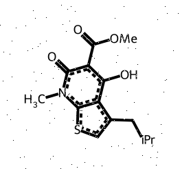 COC(=O)c1c(O)c2c(CC(C)C)csc2n(C)c1=O